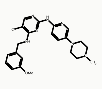 COc1cccc(CNc2nc(Nc3ccc(N4CCN(C)CC4)cn3)ncc2Cl)c1